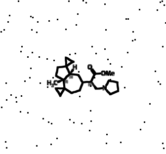 COC(=O)[C@@H](CN1CCCC1)C1CCC2(CC2)[C@]2(C)CCC3(CC3)[C@@H]2C1